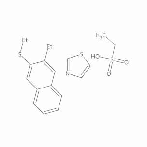 CCS(=O)(=O)O.CCSc1cc2ccccc2cc1CC.c1cscn1